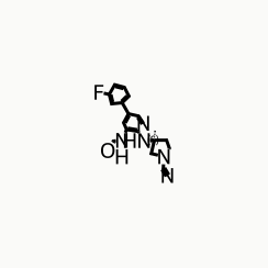 C[C@]1(Nc2ncc(-c3cccc(F)c3)cc2NC=O)CCN(C#N)C1